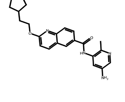 Cc1ncc(N)cc1NC(=O)c1ccc2nc(OCCC3CCCC3)ccc2c1